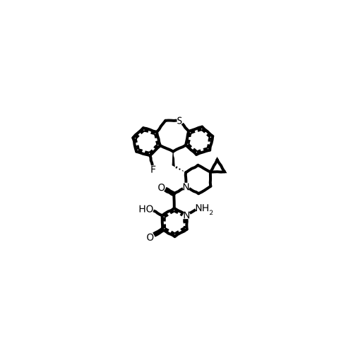 Nn1ccc(=O)c(O)c1C(=O)N1CCC2(CC2)C[C@H]1C[C@@H]1c2ccccc2SCc2cccc(F)c21